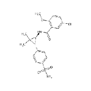 COc1ccc(Cl)cc1C(=O)N[C@H]1[C@H](c2ccc(S(N)(=O)=O)cc2)C1(C)C